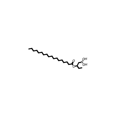 CCCCCCCCCCCCCCCCCC(=O)OC(CC)CN(O)O